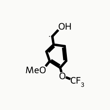 COc1cc([CH]O)ccc1OC(F)(F)F